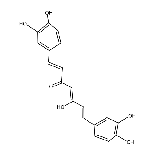 O=C(/C=C(O)/C=C/c1ccc(O)c(O)c1)/C=C/c1ccc(O)c(O)c1